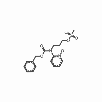 CS(=O)(=O)OCCCN(C(=O)OCc1ccccc1)c1cccc[n+]1[O-]